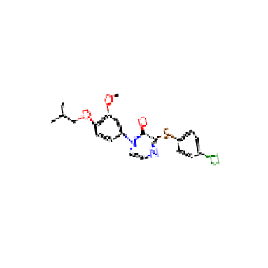 COc1cc(-n2ccnc(Sc3ccc(Cl)cc3)c2=O)ccc1OCC(C)C